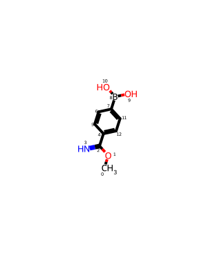 COC(=N)c1ccc(B(O)O)cc1